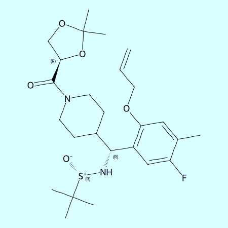 C=CCOc1cc(C)c(F)cc1[C@H](N[S@@+]([O-])C(C)(C)C)C1CCN(C(=O)[C@H]2COC(C)(C)O2)CC1